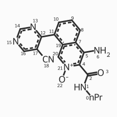 CCCNC(=O)c1c(N)c2cccc(-c3ncncc3C#N)c2c[n+]1[O-]